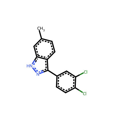 Cc1ccc2c(-c3ccc(Cl)c(Cl)c3)n[nH]c2c1